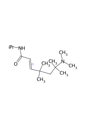 CC(C)NC(=O)/C=C/C(C)(C)CC(C)(C)N(C)C